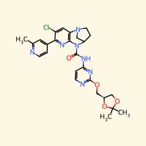 Cc1cc(-c2nc3c(cc2Cl)N2CCC(C2)N3C(=O)Nc2ccnc(OC[C@H]3COC(C)(C)O3)n2)ccn1